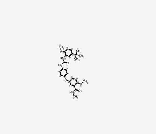 CNC(=O)c1cc(Oc2ccc(NC(=O)Nc3cc(C(C)(C)C)ccc3OC)cc2)ccc1OC